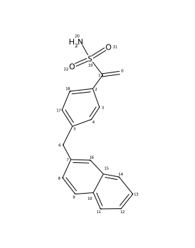 C=C(c1ccc(Cc2ccc3ccccc3c2)cc1)S(N)(=O)=O